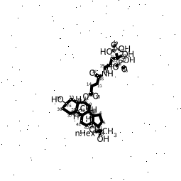 CCCCCCC(C)(O)[C@H]1CC[C@H]2[C@@H]3C[C@H](OC(=O)CCC(=O)NCCCC(O)(P(=O)(O)O)P(=O)(O)O)[C@H]4C[C@@H](O)CC[C@]4(C)[C@H]3CC[C@]12C